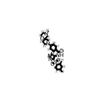 Cc1ccc(S(=O)(=O)c2nnn3c2[nH]c(=O)c2ccc(N4CCC5(CN(C)CCO5)C4)cc23)c(C)c1